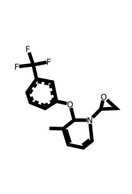 CC1=CC=CN(C2CO2)C1Oc1cccc(C(F)(F)F)c1